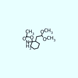 COC(CC1CCCCC1(N)OC(C)=O)OC